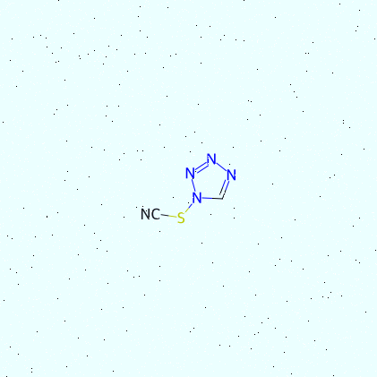 N#CSn1cnnn1